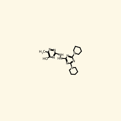 Cc1nnc(NNc2nc(N3CCCCC3)nc(N3CCCCC3)n2)nc1O